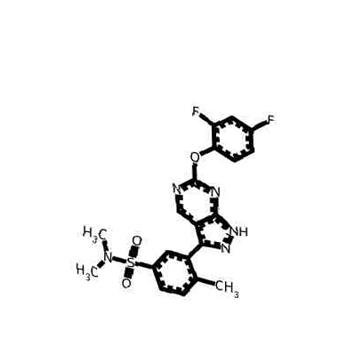 Cc1ccc(S(=O)(=O)N(C)C)cc1-c1n[nH]c2nc(Oc3ccc(F)cc3F)ncc12